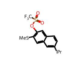 CSc1cc2cc(C(C)C)ccc2cc1OS(=O)(=O)C(F)(F)F